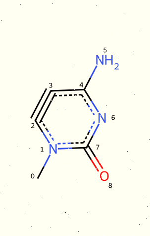 Cn1c#cc(N)nc1=O